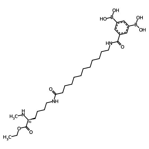 CCOC(=O)[C@H](CCCCNC(=O)CCCCCCCCCCCNC(=O)c1cc(B(O)O)cc(B(O)O)c1)NC